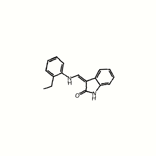 CCc1ccccc1NC=C1C(=O)Nc2ccccc21